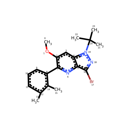 COc1cc2c(nc1-c1cccc(C)c1C)c(Br)nn2C(C)(C)C